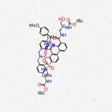 COc1ccc(CN(Cc2ccc(OC)cc2)S(=O)(=O)c2c(S(=O)(=O)NCCNC(=O)OC(C)(C)C)ccc(-c3cccc(C(=O)NC[C@@H](CO)NC(=O)OC(C)(C)C)c3N)c2-c2nnn(Cc3ccc(OC)cc3)n2)cc1